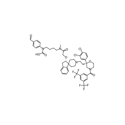 CN(CCCCN(C(=O)O)c1ccc(C=O)cc1)C(=O)CO[C@H]1Cc2ccccc2C12CCN(CC[C@]1(c3ccc(Cl)c(Cl)c3)CN(C(=O)c3cc(C(F)(F)F)cc(C(F)(F)F)c3)CCO1)CC2